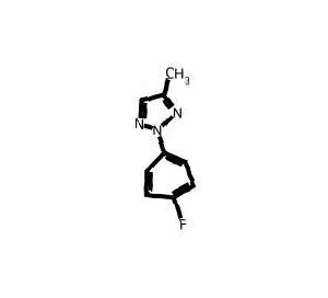 Cc1cnn(-c2ccc(F)cc2)n1